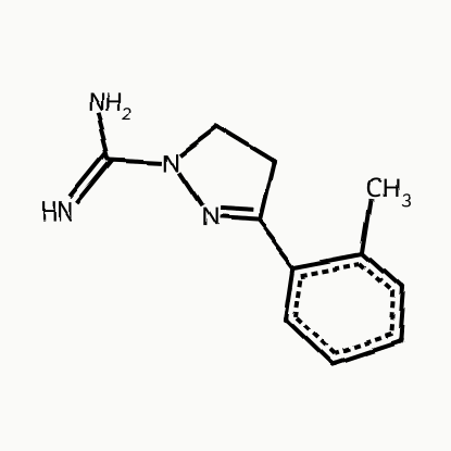 Cc1ccccc1C1=NN(C(=N)N)CC1